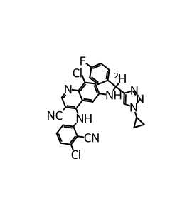 [2H]C(Nc1cc(Cl)c2ncc(C#N)c(Nc3cccc(Cl)c3C#N)c2c1)(c1ccc(F)cc1)c1cn(C2CC2)nn1